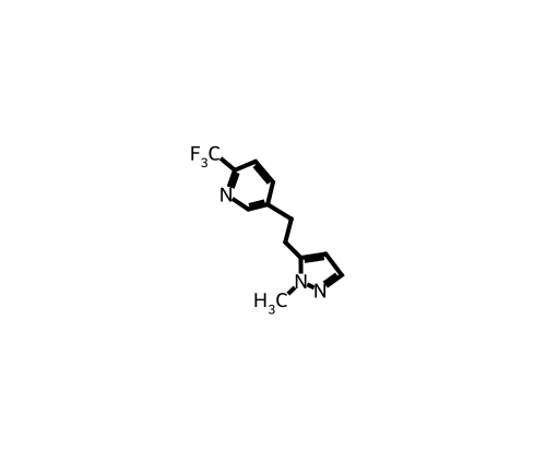 Cn1nccc1CCc1ccc(C(F)(F)F)nc1